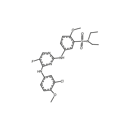 CCN(CC)S(=O)(=O)c1cc(Nc2ncc(F)c(Nc3ccc(OC)c(Cl)c3)n2)ccc1OC